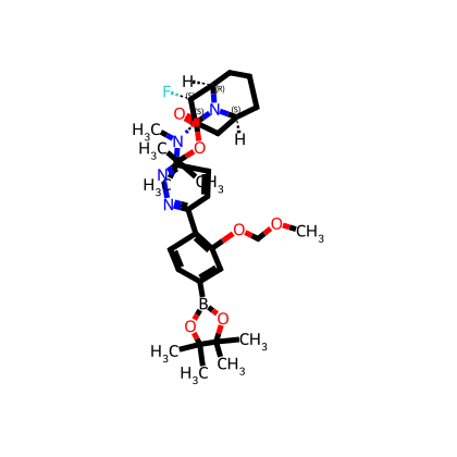 COCOc1cc(B2OC(C)(C)C(C)(C)O2)ccc1-c1ccc(N(C)[C@H]2C[C@@H]3CCC[C@H]([C@H]2F)N3C(=O)OC(C)(C)C)nn1